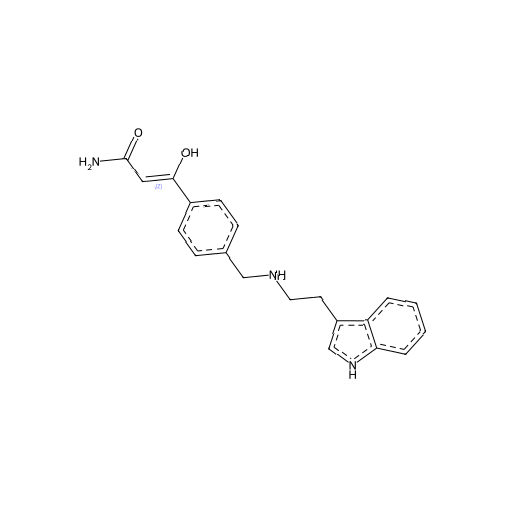 NC(=O)/C=C(\O)c1ccc(CNCCc2c[nH]c3ccccc23)cc1